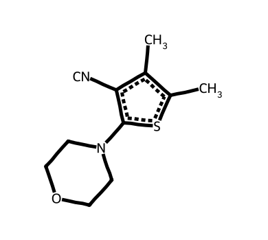 [C-]#[N+]c1c(N2CCOCC2)sc(C)c1C